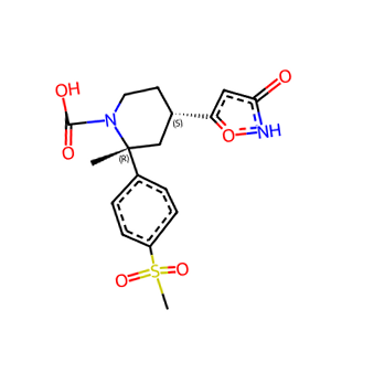 C[C@]1(c2ccc(S(C)(=O)=O)cc2)C[C@@H](c2cc(=O)[nH]o2)CCN1C(=O)O